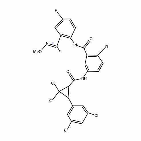 CO/N=C(\C)c1cc(F)ccc1NC(=O)c1cc(NC(=O)C2C(c3cc(Cl)cc(Cl)c3)C2(Cl)Cl)ccc1Cl